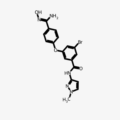 Cn1ccc(NC(=O)c2cc(Br)cc(Oc3ccc(C(N)=NO)cc3)c2)n1